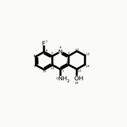 Nc1c2c(nc3c(F)cccc13)CCCC2O